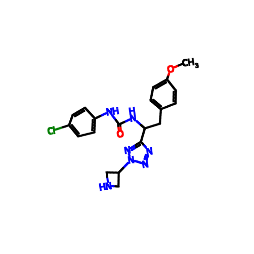 COc1ccc(CC(NC(=O)Nc2ccc(Cl)cc2)c2nnn(C3CNC3)n2)cc1